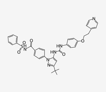 CC(C)(C)c1cc(NC(=O)Nc2ccc(OCCc3ccncc3)cc2)n(-c2ccc(C(=O)NS(=O)(=O)c3ccccc3)cc2)n1